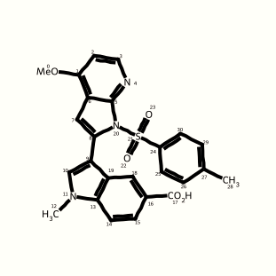 COc1ccnc2c1cc(-c1cn(C)c3ccc(C(=O)O)cc13)n2S(=O)(=O)c1ccc(C)cc1